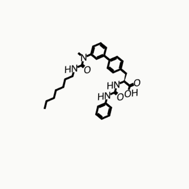 CCCCCCCNC(=O)N(C)c1cccc(-c2ccc(C[C@H](NC(=O)Nc3ccccc3)C(=O)O)cc2)c1